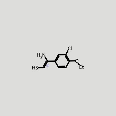 CCOc1ccc(/C(N)=C/S)cc1Cl